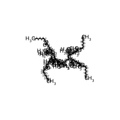 CCCCCC/C=C\COC(=O)CCCCCC(CN(CCCNC(=O)CC(C)(O)CC(=O)NCCCN(CC(CCCCCC(=O)OC/C=C\CCCCCC)O[Si](C)(C)C(C)(C)C)CC(CCCCCC(=O)OC/C=C\CCCCCC)O[Si](C)(C)C(C)(C)C)CC(CCCCCC(=O)OC/C=C\CCCCCC)O[Si](C)(C)C(C)(C)C)O[Si](C)(C)C(C)(C)C